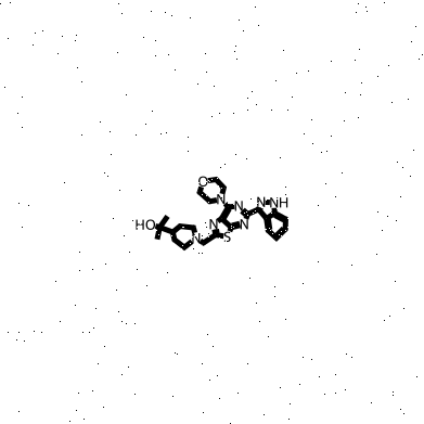 CC(C)(O)C1CCN(Cc2nc3c(N4CCOCC4)nc(-c4n[nH]c5ccccc45)nc3s2)CC1